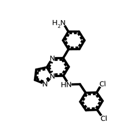 Nc1cccc(-c2cc(NCc3ccc(Cl)cc3Cl)n3nccc3n2)c1